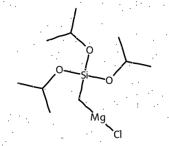 CC(C)O[Si]([CH2][Mg][Cl])(OC(C)C)OC(C)C